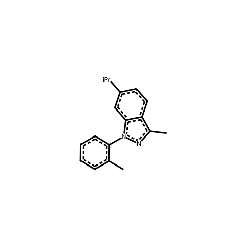 Cc1ccccc1-n1nc(C)c2ccc(C(C)C)cc21